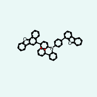 c1ccc(-c2ccccc2N(c2ccc(-c3cc4c5ccccc5oc4c4ccccc34)cc2)c2ccc(-c3cccc4c3oc3ccccc34)cc2)cc1